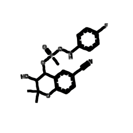 CC1(C)Oc2ccc(C#N)cc2C(OP(C)(=O)ONc2ccc(F)cc2)C1O